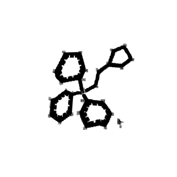 [Br-].c1ccc([P+](CCC2CCCC2)(c2ccccc2)c2ccccc2)cc1